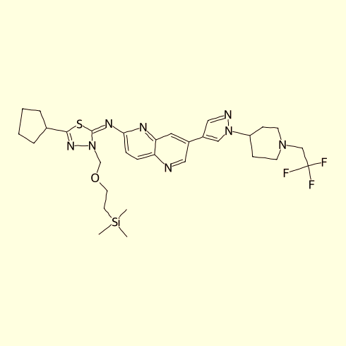 C[Si](C)(C)CCOCn1nc(C2CCCC2)sc1=Nc1ccc2ncc(-c3cnn(C4CCN(CC(F)(F)F)CC4)c3)cc2n1